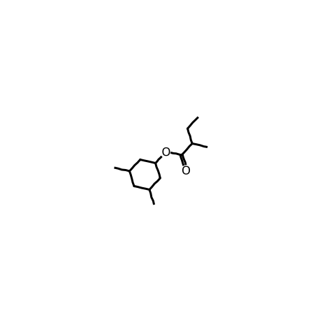 CCC(C)C(=O)OC1CC(C)CC(C)C1